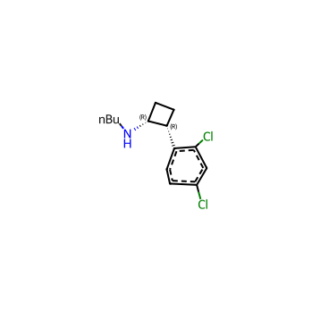 CCCCN[C@@H]1CC[C@@H]1c1ccc(Cl)cc1Cl